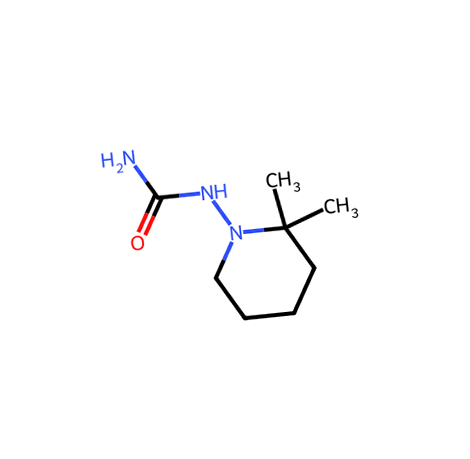 CC1(C)CCCCN1NC(N)=O